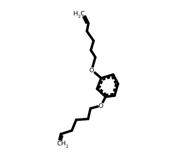 C=CCCCCOc1[c]ccc(OCCCCC=C)c1